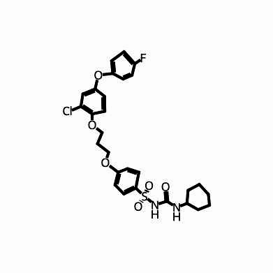 O=C(NC1CCCCC1)NS(=O)(=O)c1ccc(OCCCOc2ccc(Oc3ccc(F)cc3)cc2Cl)cc1